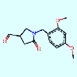 COc1ccc(CN2CC(C=O)CC2=O)c(OC)c1